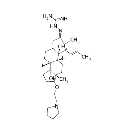 CC=CC1C(C)C(=NNC(=N)N)CC2CC[C@@H]3[C@@H](CC[C@]4(C)C(OCCN5CCCC5)CC[C@@]34O)[C@]21C